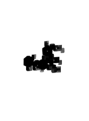 COc1cc(S(=O)(=O)N2c3cc(/C=C(\C)c4c(F)cccc4Cl)ccc3O[C@@H](CO)[C@H]2C)ccc1F